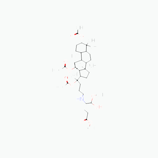 COC(=O)CC[C@H](NCCCC(C)(OC(C)=O)C1CC[C@]2(C)[C@@H]1C(OC(C)=O)CC1[C@@]3(C)CC[C@H](OC(C)=O)C(C)(C)C3CC[C@]12C)C(O)OC